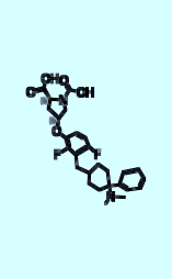 CN(C)C1(c2ccccc2)CCC(Cc2c(F)ccc(O[C@H]3C[C@@H](C(=O)O)N(C(=O)O)C3)c2F)CC1